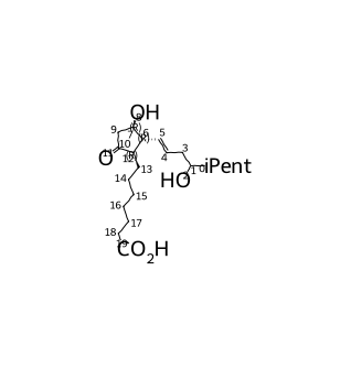 CCCC(C)C(O)CC=C[C@H]1[C@H](O)CC(=O)[C@@H]1CCCCCCC(=O)O